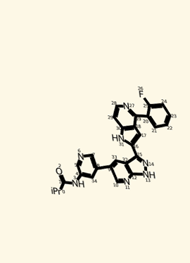 CC(C)C(=O)Nc1cncc(-c2cnc3[nH]nc(-c4cc5c(-c6ccccc6F)nccc5[nH]4)c3c2)c1